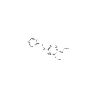 CCOC(=O)C(CC)NC(=O)OCc1ccccc1